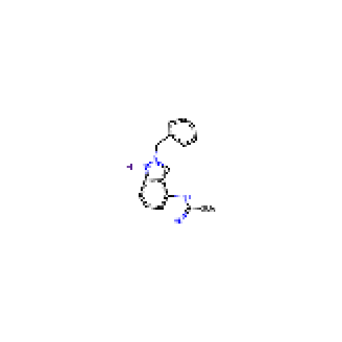 CSC(=N)Nc1cccc2nn(Cc3ccccc3)cc12.I